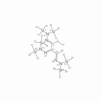 CCC(=N\N([Si](C)(C)C)[Si](C)(C)C)/C(=N\N([Si](C)(C)C)[Si](C)(C)C)C(/C)=N/N([Si](C)(C)C)[Si](C)(C)C